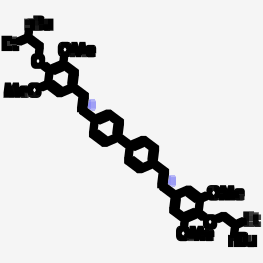 CCCCC(CC)COc1c(OC)cc(/C=C/c2ccc(-c3ccc(/C=C/c4cc(OC)c(OCC(CC)CCCC)c(OC)c4)cc3)cc2)cc1OC